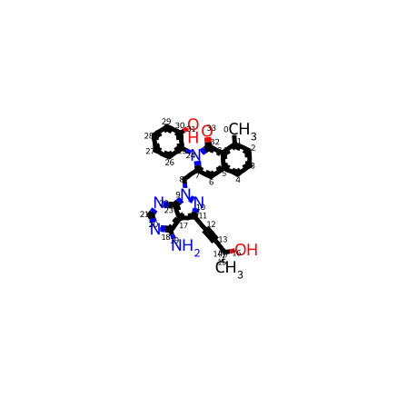 Cc1cccc2cc(Cn3nc(C#C[C@@H](C)O)c4c(N)ncnc43)n(-c3ccccc3O)c(=O)c12